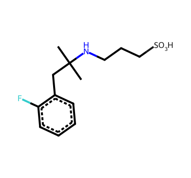 CC(C)(Cc1ccccc1F)NCCCS(=O)(=O)O